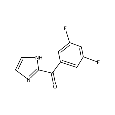 O=C(c1cc(F)cc(F)c1)c1ncc[nH]1